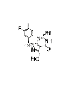 Cc1ccc([C@@H](C)n2nc(CO)c3c(=O)[nH]c(O)nc32)cc1F